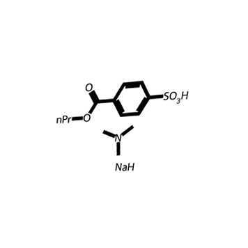 CCCOC(=O)c1ccc(S(=O)(=O)O)cc1.CN(C)C.[NaH]